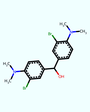 CN(C)c1ccc(C(O)c2ccc(N(C)C)c(Br)c2)cc1Br